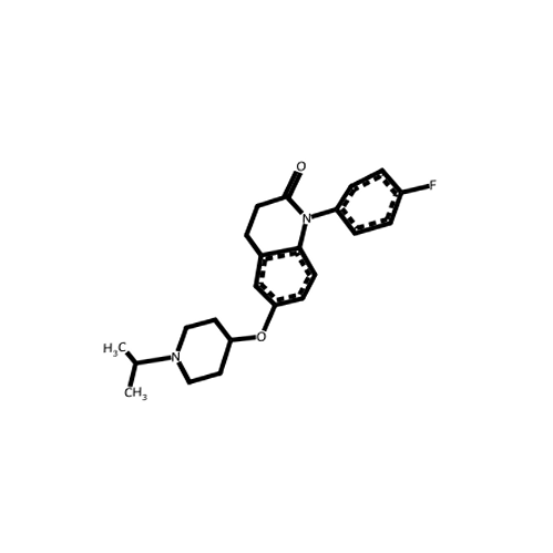 CC(C)N1CCC(Oc2ccc3c(c2)CCC(=O)N3c2ccc(F)cc2)CC1